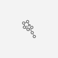 c1ccc(-c2ccc(-n3c4ccccc4c4c3ccc3c5cccc6c7ccccc7c7ccccc7c7ccccc7n(c65)c34)cc2)cc1